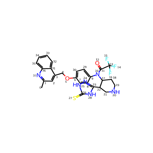 Cc1cc(COc2ccc(N(C(=O)C(F)(F)F)C3CCNCC3c3n[nH]c(=S)[nH]3)cc2)c2ccccc2n1